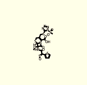 CO[C@@]1(NC(=O)C(=S=O)c2cccs2)C(=O)N2C(C(=O)O)=C(CSc3nnnn3S(C)(=O)=O)CS[C@@H]21